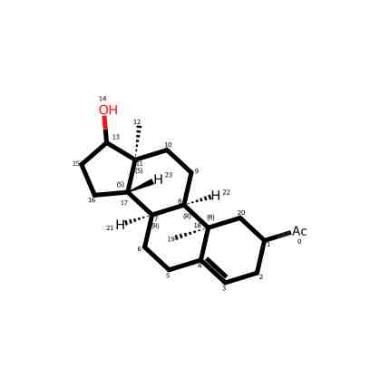 CC(=O)C1CC=C2CC[C@@H]3[C@@H](CC[C@]4(C)C(O)CC[C@@H]34)[C@@]2(C)C1